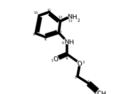 C#CCOC(=O)Nc1ccccc1N